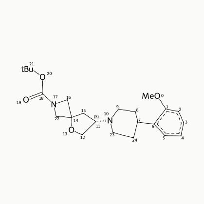 COc1ccccc1C1CCN([C@@H]2COC3(C2)CN(C(=O)OC(C)(C)C)C3)CC1